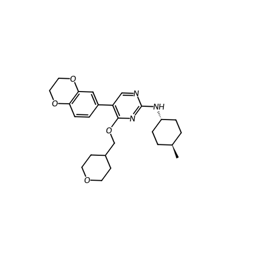 C[C@H]1CC[C@H](Nc2ncc(-c3ccc4c(c3)OCCO4)c(OCC3CCOCC3)n2)CC1